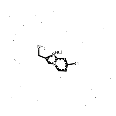 Cl.NCc1cn2ccc(Cl)cc2n1